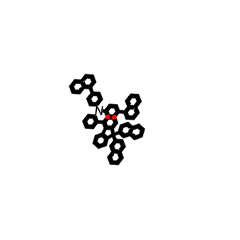 c1ccc(N(c2ccc(-c3cccc4ccccc34)cc2)c2ccc(-c3cccc4ccccc34)cc2)c(-c2cccc3c2-c2ccccc2C3(c2ccc3ccccc3c2)c2ccc3ccccc3c2)c1